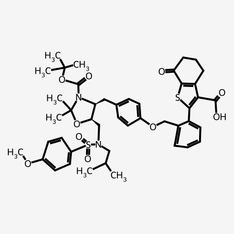 COc1ccc(S(=O)(=O)N(CC(C)C)C[C@H]2OC(C)(C)N(C(=O)OC(C)(C)C)[C@H]2Cc2ccc(OCc3ccccc3-c3sc4c(c3C(=O)O)CCCC4=O)cc2)cc1